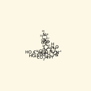 CCCc1nn(C)c2c(=O)[nH]c(-c3cc(S(=O)(=O)N4CCN(C)CC4)ccc3OCC)nc12.Cl.O=C(O)CC(O)(CC(=O)O)C(=O)O